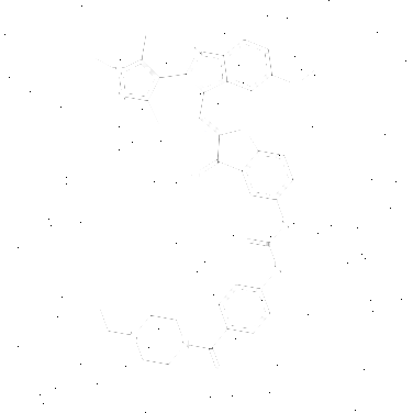 CCN1CCN(C(=O)c2ccc(NC(=O)Nc3ccc4c(c3)C(=O)/C(=C/c3c(-c5c(C)nn(C)c5C)[nH]c5ccc(OC)cc35)O4)cc2)CC1